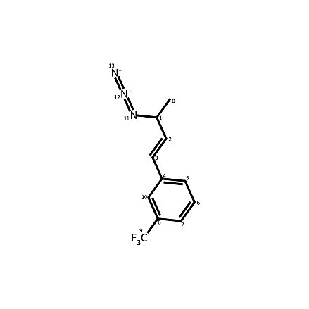 CC(/C=C/c1cccc(C(F)(F)F)c1)N=[N+]=[N-]